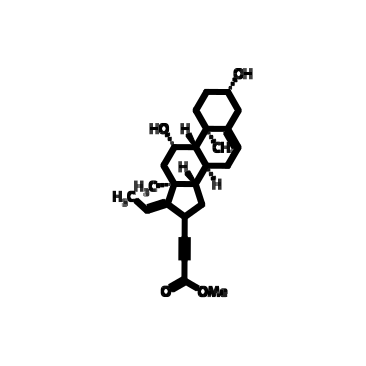 C/C=C1/C(C#CC(=O)OC)C[C@H]2[C@@H]3CC=C4C[C@@H](O)CC[C@]4(C)[C@H]3[C@@H](O)C[C@]12C